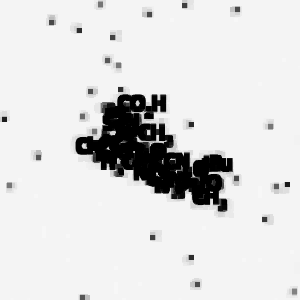 Cc1cc(-c2cc(Cl)ccc2OCCn2c(C)nc3cnc(N4CC(N(C)C(=O)OC(C)(C)C)C4)c(C#N)c3c2=O)c2scc(C(=O)O)c2n1